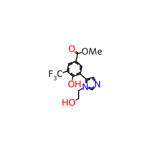 COC(=O)c1cc(-c2cncn2CCO)c(O)c(C(F)(F)F)c1